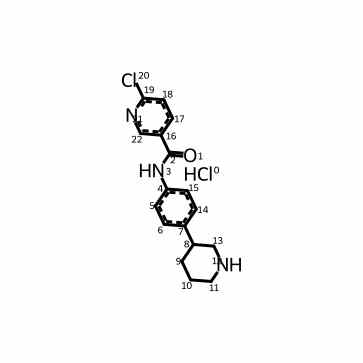 Cl.O=C(Nc1ccc(C2CCCNC2)cc1)c1ccc(Cl)nc1